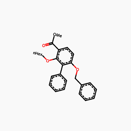 CCCCCCOc1c(C(=O)OC)ccc(OCc2ccccc2)c1-c1ccccc1